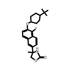 CC1(c2ccc3c(F)c(OC4CCC(C(C)(C)C)CC4)ccc3c2)COC(=O)N1